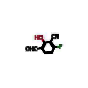 N#Cc1c(F)ccc(C=O)c1O